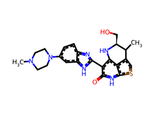 CC1c2csc3[nH]c(=O)c(-c4nc5ccc(N6CCN(C)CC6)cc5[nH]4)c(c23)N[C@H]1CO